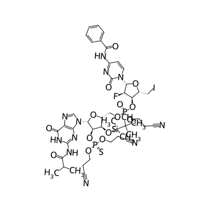 CC(C)C(=O)Nc1nc2c(ncn2[C@@H]2O[C@H](COP(=O)(OCCC#N)O[C@H]3[C@@H](F)[C@H](n4ccc(NC(=O)c5ccccc5)nc4=O)O[C@@H]3CI)[C@@H](O[Si](C)(C)C(C)(C)C)[C@H]2OP(=S)(OCCC#N)OCCC#N)c(=O)[nH]1